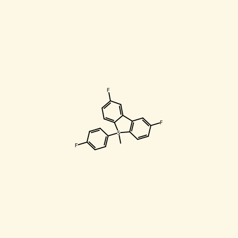 CS1(c2ccc(F)cc2)c2ccc(F)cc2-c2cc(F)ccc21